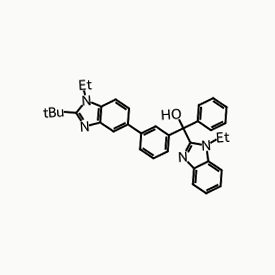 CCn1c(C(C)(C)C)nc2cc(-c3cccc(C(O)(c4ccccc4)c4nc5ccccc5n4CC)c3)ccc21